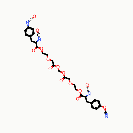 N#COc1ccc(CC(N=C=O)C(=O)OCCOCC(=O)OCOC(=O)COCCOC(=O)C(Cc2ccc(N=C=O)cc2)N=C=O)cc1